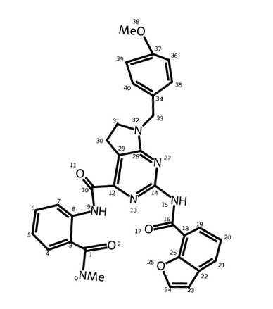 CNC(=O)c1ccccc1NC(=O)c1nc(NC(=O)c2cccc3ccoc23)nc2c1CCN2Cc1ccc(OC)cc1